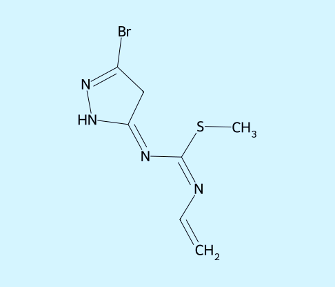 C=C/N=C(\N=C1/CC(Br)=NN1)SC